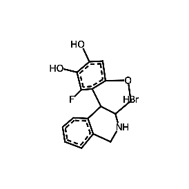 Br.Oc1cc2c(c(F)c1O)C1c3ccccc3CNC1CO2